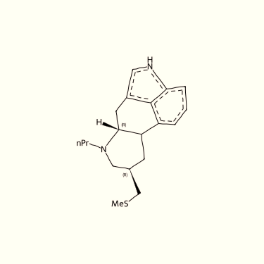 CCCN1C[C@H](CSC)CC2c3cccc4[nH]cc(c34)C[C@H]21